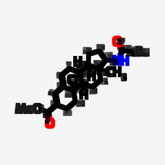 COC(=O)C1=CC2=CC[C@@H]3[C@@H](CC[C@]4(C)C(NC(=O)C(C)(C)C)CC[C@@H]34)[C@@]2(C)CC1